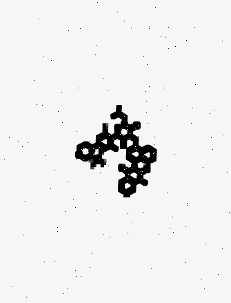 Cc1cc(N2CCOC[C@@H]2C(F)(F)F)cc(F)c1C(=O)NC(Cc1ccc(-n2c(=O)c3ccncc3n(C)c2=O)c2ncccc12)C(=O)OCC(C)C